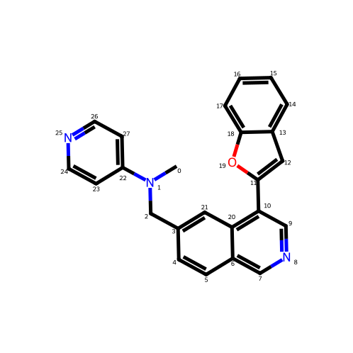 CN(Cc1ccc2cncc(-c3cc4ccccc4o3)c2c1)c1ccncc1